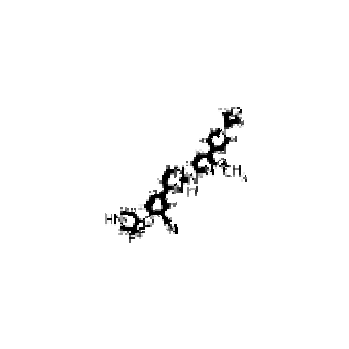 COc1nc(Nc2nccc(-c3ccc(OC4CCNCC4(F)F)c(C#N)c3)n2)ccc1C1CCN(C2COC2)CC1